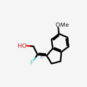 COc1ccc2c(c1)/C(=C(/F)CO)CC2